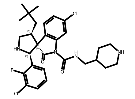 CC(C)(C)C[C@@H]1CN[C@H](c2cccc(Cl)c2F)[C@@]12C(=O)N(C(=O)NCC1CCNCC1)c1cc(Cl)ccc12